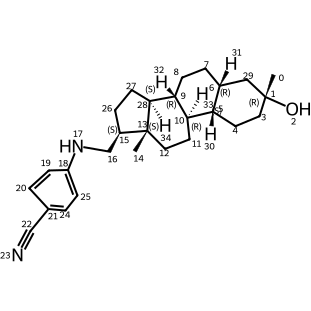 C[C@@]1(O)CC[C@H]2[C@H](CC[C@@H]3[C@@H]2CC[C@]2(C)[C@@H](CNc4ccc(C#N)cc4)CC[C@@H]32)C1